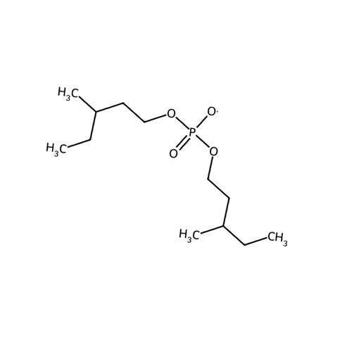 CCC(C)CCOP([O])(=O)OCCC(C)CC